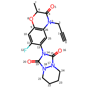 C#CCN1C(=O)C(C)Oc2cc(F)c(-n3c(=O)n4n(c3=O)CCCC4)cc21